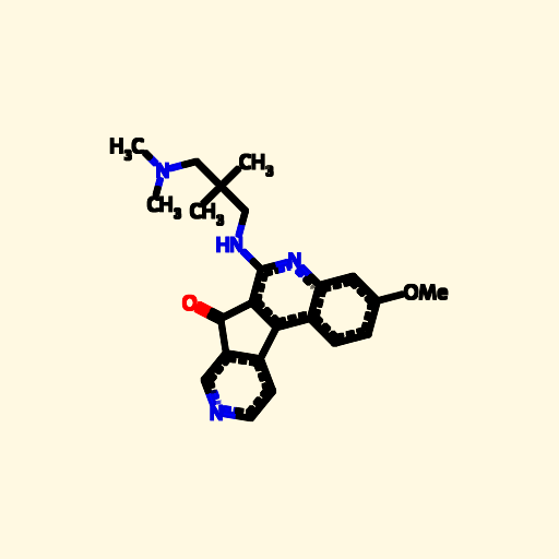 COc1ccc2c3c(c(NCC(C)(C)CN(C)C)nc2c1)C(=O)c1cnccc1-3